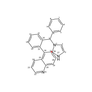 C1=CN(C(c2ccccc2)c2ccccc2-c2cccc3ncccc23)CN1